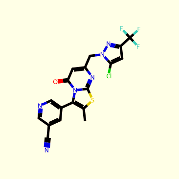 Cc1sc2nc(Cn3nc(C(F)(F)F)cc3Cl)cc(=O)n2c1-c1cncc(C#N)c1